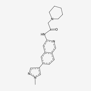 Cn1cc(-c2ccc3cnc(NC(=O)CN4CCCCC4)cc3c2)cn1